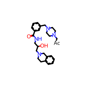 CC(=O)CN1CCN(Cc2cccc(C(=O)NCC(O)CN3CCc4ccccc4C3)c2)CC1